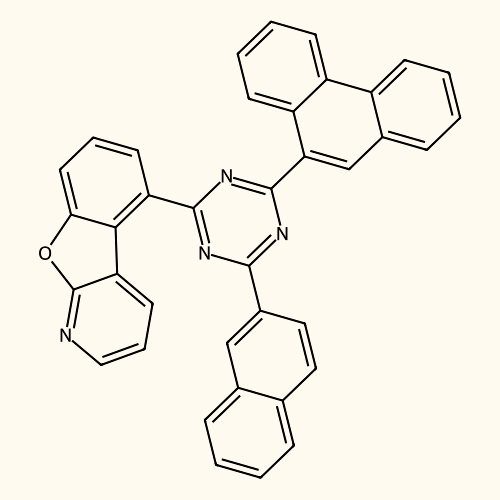 c1ccc2cc(-c3nc(-c4cc5ccccc5c5ccccc45)nc(-c4cccc5oc6ncccc6c45)n3)ccc2c1